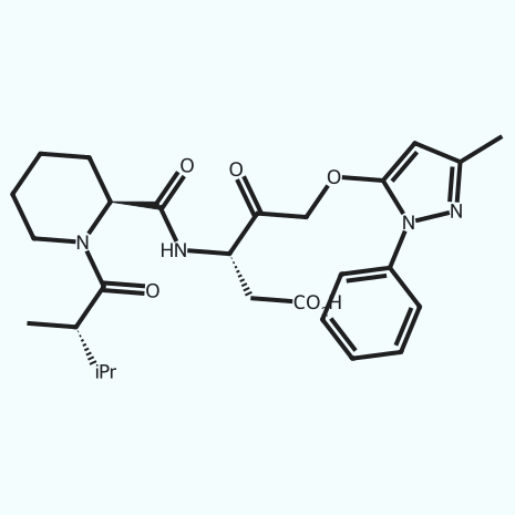 Cc1cc(OCC(=O)[C@H](CC(=O)O)NC(=O)[C@@H]2CCCCN2C(=O)[C@@H](C)C(C)C)n(-c2ccccc2)n1